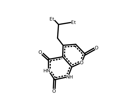 CCC(CC)Cc1cc(=O)oc2[nH]c(=O)[nH]c(=O)c12